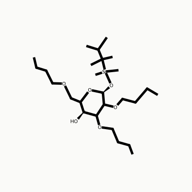 CCCCOCC1O[C@@H](O[Si](C)(C)C(C)(C)C(C)C)C(OCCCC)C(OCCCC)[C@H]1O